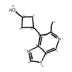 Cc1ncc2scnc2c1C1CC(O)C1